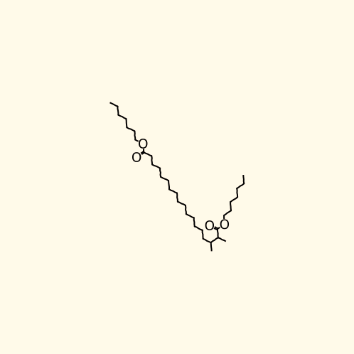 CCCCCCCOC(=O)CCCCCCCCCCCCCCC(C)C(C)C(=O)OCCCCCCC